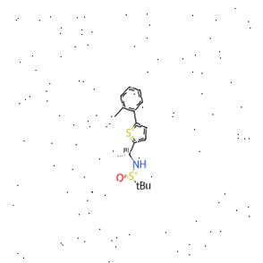 [CH2]c1ccccc1-c1ccc([C@@H](C)N[S+]([O-])C(C)(C)C)s1